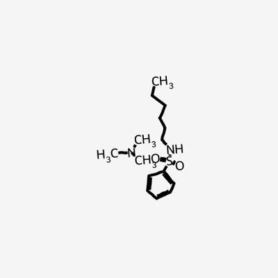 CCCCCCNS(=O)(=O)c1ccccc1.CN(C)C